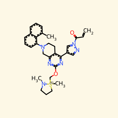 C=CC(=O)n1cc(-c2nc(OC[S@]3(C)CCCN3C)nc3c2CCN(c2cccc4cccc(C)c24)C3)cn1